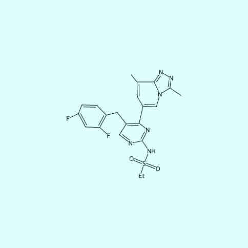 CCS(=O)(=O)Nc1ncc(Cc2ccc(F)cc2F)c(-c2cc(C)c3nnc(C)n3c2)n1